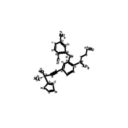 COCCN(C)c1ccc(C#C[C@](C)(O)c2nccs2)cc1Nc1nc(N)ncc1Cl